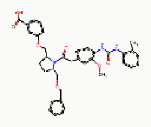 COc1cc(CC(=O)N2[C@@H](COCc3ccccc3)CC[C@H]2COc2cccc(C(=O)O)c2)ccc1NC(=O)Nc1ccccc1C